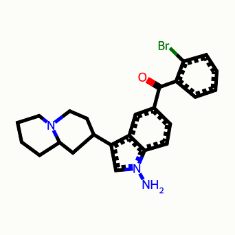 Nn1cc(C2CCN3CCCCC3C2)c2cc(C(=O)c3ccccc3Br)ccc21